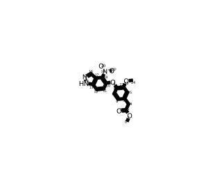 COC(=O)Cc1ccc(Oc2ccc3[nH]ncc3c2[N+](=O)[O-])c(OC)c1